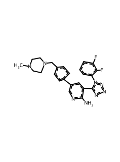 CN1CCN(Cc2ccc(-c3cnc(N)c(-c4nnnn4-c4cccc(F)c4F)c3)cc2)CC1